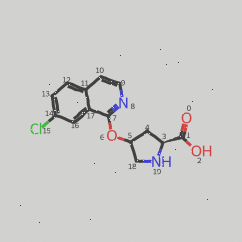 O=C(O)[C@@H]1CC(Oc2nccc3ccc(Cl)cc23)CN1